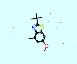 COc1cc(C)c2nc(C(C)(C)C)sc2c1